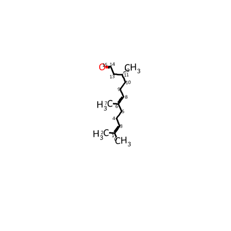 CC(C)=CCC/C(C)=C/CC[C@@H](C)CC=O